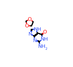 C1COCO1.Nc1nc2nc[nH]c2c(=O)[nH]1